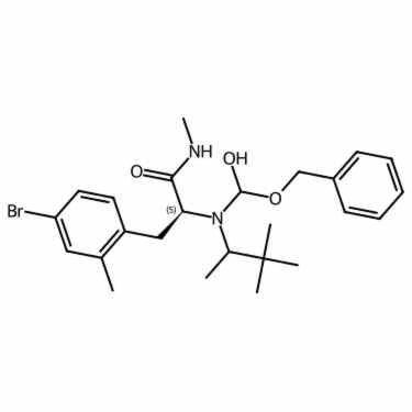 CNC(=O)[C@H](Cc1ccc(Br)cc1C)N(C(O)OCc1ccccc1)C(C)C(C)(C)C